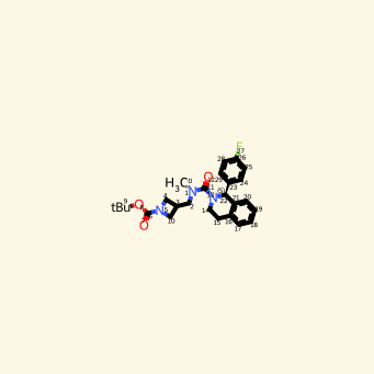 CN(CC1CN(C(=O)OC(C)(C)C)C1)C(=O)N1CCc2ccccc2[C@@H]1c1ccc(F)cc1